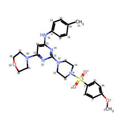 COc1ccc(S(=O)(=O)N2CCN(c3nc(Nc4ccc(C)cc4)cc(N4CCOCC4)n3)CC2)cc1